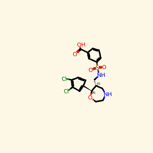 O=C(O)c1cccc(S(=O)(=O)NC[C@@H]2CNCCO[C@H]2c2ccc(Cl)c(Cl)c2)c1